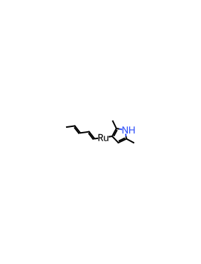 CC=CC=[CH][Ru][c]1cc(C)[nH]c1C